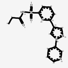 CCC(=O)NS(=O)(=O)c1cccc(-c2cnn(-c3cccnc3)c2)n1